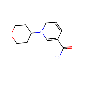 NC(=O)C1=CN(C2CCOCC2)CC=C1